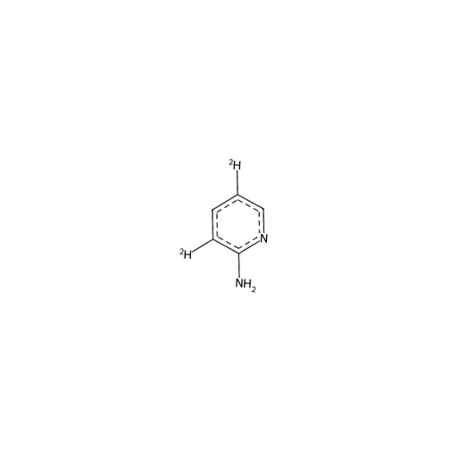 [2H]c1cnc(N)c([2H])c1